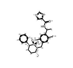 CC(NC(=O)c1cocn1)c1cc(F)c(CN2[C@H](C)CC[C@@H](c3ccccc3)S2(=O)=O)cc1F